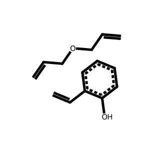 C=CCOCC=C.C=Cc1ccccc1O